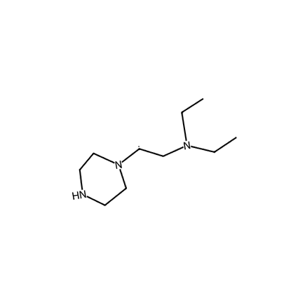 CCN(CC)C[CH]N1CCNCC1